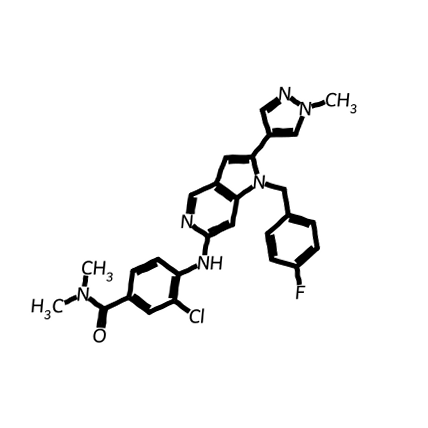 CN(C)C(=O)c1ccc(Nc2cc3c(cn2)cc(-c2cnn(C)c2)n3Cc2ccc(F)cc2)c(Cl)c1